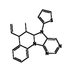 C=CC1c2ccccc2N2c3ncncc3N(c3cccs3)C2C1C